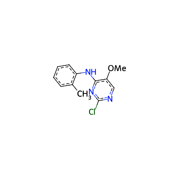 COc1cnc(Cl)nc1Nc1ccccc1C